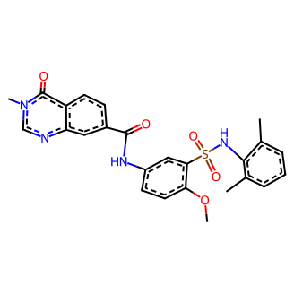 COc1ccc(NC(=O)c2ccc3c(=O)n(C)cnc3c2)cc1S(=O)(=O)Nc1c(C)cccc1C